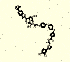 Cc1ncsc1-c1ccc([C@H](C)NC(=O)C2C[C@@H](O)CN2C(=O)[C@@H](NC(=O)COc2ccc(OC3CCC(Oc4ccc(C(=O)N[C@@H](C)Cn5ccc(-c6ccc(C#N)c(Cl)c6)n5)cc4)CC3)cc2)C(C)(C)C)cc1